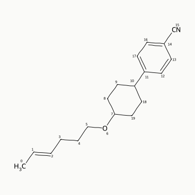 C/C=C/CCCOC1CCC(c2ccc(C#N)cc2)CC1